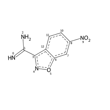 N=C(N)c1noc2cc([N+](=O)[O-])ccc12